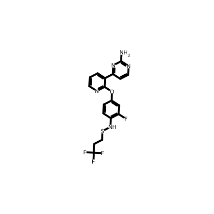 Nc1nccc(-c2cccnc2Oc2ccc(NSCCC(F)(F)F)c(F)c2)n1